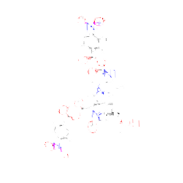 C[C@@H](O)[C@H]1C(=O)N2C(C(=O)OC(=O)c3ccc([N+](=O)[O-])cc3)=C(CN3CC[C@H](NC(=O)OC(=O)c4ccc([N+](=O)[O-])cc4)C3)[C@H](C)[C@H]12